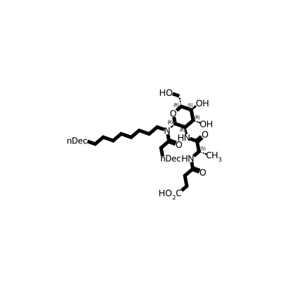 CCCCCCCCCCCCCCCCCCN(C(=O)CCCCCCCCCCC)[C@@H]1O[C@H](CO)[C@@H](O)[C@H](O)[C@H]1NC(=O)[C@H](C)NC(=O)CCC(=O)O